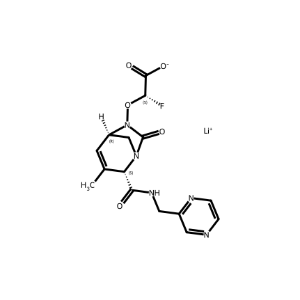 CC1=C[C@@H]2CN(C(=O)N2O[C@@H](F)C(=O)[O-])[C@@H]1C(=O)NCc1cnccn1.[Li+]